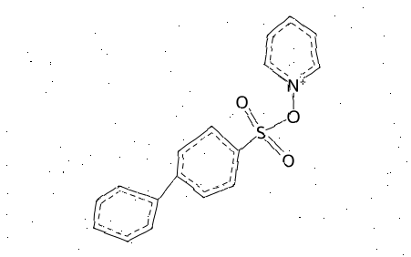 O=S(=O)(O[n+]1ccccc1)c1ccc(-c2ccccc2)cc1